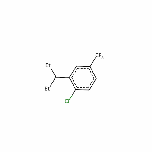 CCC(CC)c1cc(C(F)(F)F)ccc1Cl